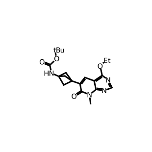 CCOc1ncnc2c1cc(C13CC(NC(=O)OC(C)(C)C)(C1)C3)c(=O)n2C